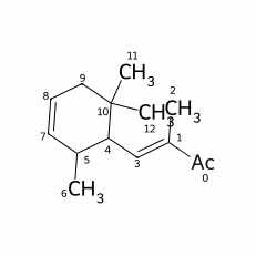 CC(=O)/C(C)=C/C1C(C)C=CCC1(C)C